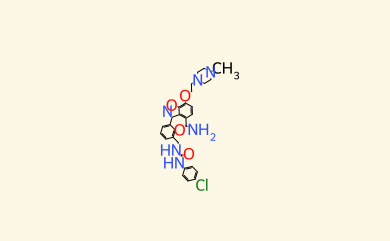 CN1CCN(CCOc2ccc(C(N)=O)c3c(-c4cccc(CNC(=O)Nc5ccc(Cl)cc5)c4)noc23)CC1